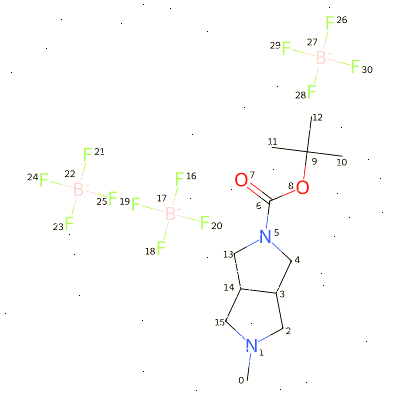 CN1CC2CN(C(=O)OC(C)(C)C)CC2C1.F[B-](F)(F)F.F[B-](F)(F)F.F[B-](F)(F)F